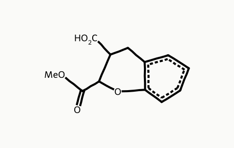 COC(=O)C1Oc2ccccc2CC1C(=O)O